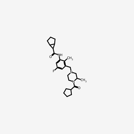 Cc1c(CN2CCN(C(=O)C3CCCC3)C(C)C2)cc(F)cc1NC(=O)C1C2CCCC21